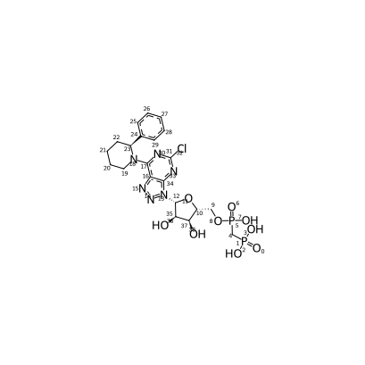 O=P(O)(O)CP(=O)(O)OC[C@H]1O[C@@H](n2nnc3c(N4CCCC[C@H]4c4ccccc4)nc(Cl)nc32)[C@H](O)[C@@H]1O